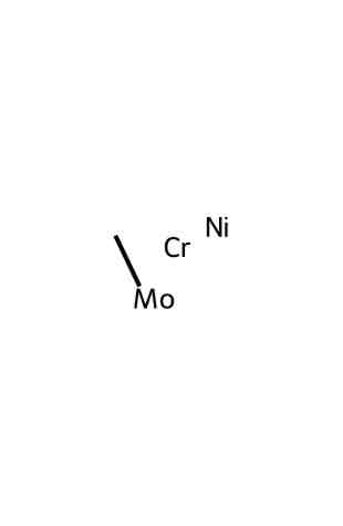 [CH3][Mo].[Cr].[Ni]